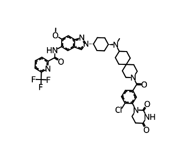 COc1cc2nn([C@H]3CC[C@H](N(C)C4CCC5(CC4)CCN(C(=O)c4ccc(Cl)c(N6CCC(=O)NC6=O)c4)CC5)CC3)cc2cc1NC(=O)c1cccc(C(F)(F)F)n1